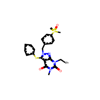 C=S(C)(=O)c1ccc(Cn2nc3c(c2Sc2ccccc2)c(=O)n(C)c(=O)n3CC(C)C)cc1